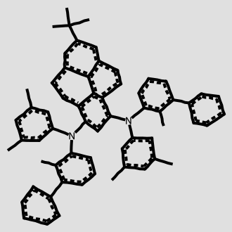 Cc1cc(C)cc(N(c2cccc(-c3ccccc3)c2C)c2cc(N(c3cc(C)cc(C)c3)c3cccc(-c4ccccc4)c3C)c3ccc4cc(C(C)(C)C)cc5ccc2c3c54)c1